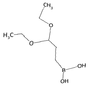 CCOC(CCB(O)O)OCC